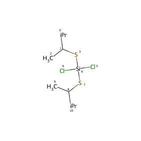 CC(C)C(C)S[Si](Cl)(Cl)SC(C)C(C)C